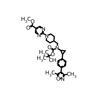 COC(=O)c1cnc(N2CCC(CN(C(=O)OC(C)(C)C)C3CC3c3ccc(-c4c(C)noc4C)cc3)CC2)nc1